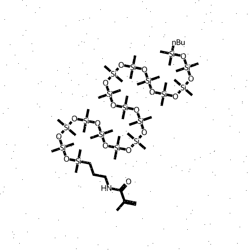 C=C(C)C(=O)NCCC[Si](C)(C)O[Si](C)(C)O[Si](C)(C)O[Si](C)(C)O[Si](C)(C)O[Si](C)(C)O[Si](C)(C)O[Si](C)(C)O[Si](C)(C)O[Si](C)(C)O[Si](C)(C)O[Si](C)(C)O[Si](C)(C)O[Si](C)(C)O[Si](C)(C)O[Si](C)(C)O[Si](C)(C)CCCC